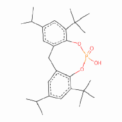 CC(C)c1cc2c(c(C(C)(C)C)c1)OP(=O)(O)Oc1c(cc(C(C)C)cc1C(C)(C)C)C2